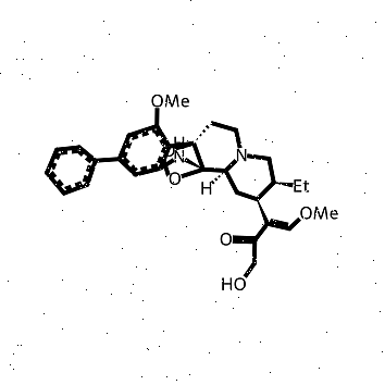 CC[C@@H]1CN2CC[C@@]34OCCO[C@@]3(Nc3cc(-c5ccccc5)cc(OC)c34)[C@@H]2C[C@@H]1/C(=C\OC)C(=O)CO